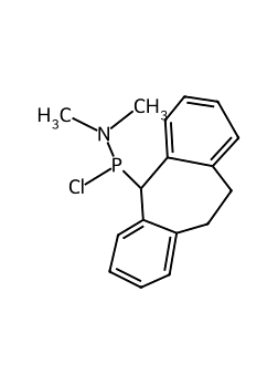 CN(C)P(Cl)C1c2ccccc2CCc2ccccc21